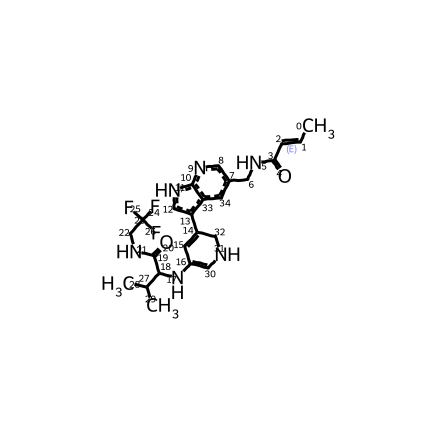 C/C=C/C(=O)NCc1cnc2[nH]cc(C3=CC(NC(C(=O)NCC(F)(F)F)C(C)C)=CNC3)c2c1